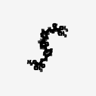 C=C(C)C(=O)SCC1CSC(c2ccc(C3SCC(CSC(=O)C(=C)C)S3)o2)S1